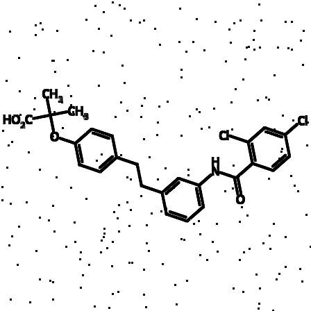 CC(C)(Oc1ccc(CCc2cccc(NC(=O)c3ccc(Cl)cc3Cl)c2)cc1)C(=O)O